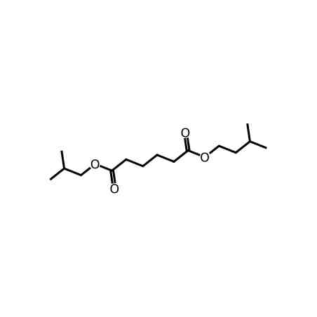 CC(C)CCOC(=O)CCCCC(=O)OCC(C)C